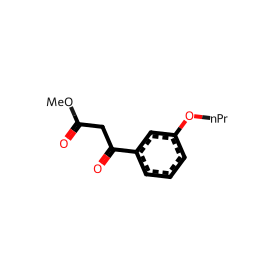 CCCOc1cccc(C(=O)CC(=O)OC)c1